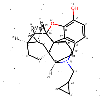 COC1[C@@H]2CC[C@@]3(C[C@@H]2C(C)=O)[C@H]2Cc4ccc(O)c5c4[C@@]3(CCN2CC2CC2)[C@H]1O5